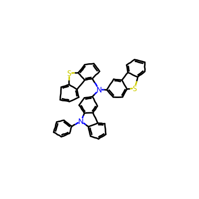 c1ccc(-n2c3ccccc3c3cc(N(c4ccc5sc6ccccc6c5c4)c4cccc5sc6ccccc6c45)ccc32)cc1